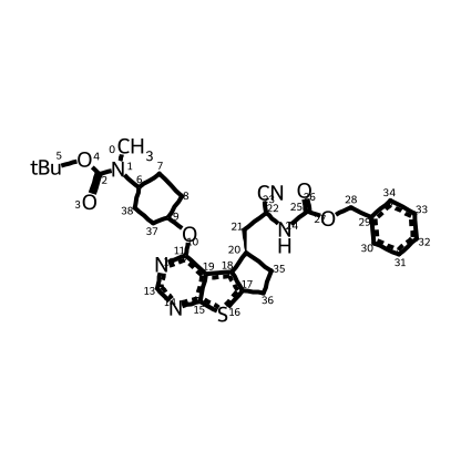 CN(C(=O)OC(C)(C)C)C1CCC(Oc2ncnc3sc4c(c23)[C@@H](CC(C#N)NC(=O)OCc2ccccc2)CC4)CC1